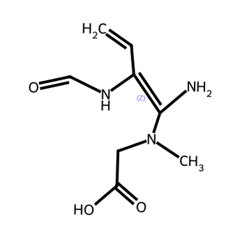 C=C/C(NC=O)=C(\N)N(C)CC(=O)O